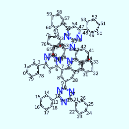 c1ccc(-c2cc(-c3cc(-c4nc(-c5ccccc5)nc(-c5ccccc5)n4)cc(-c4ccccc4)c3N3c4ccccc4N(c4nc(-c5ccccc5)cc(-c5ccccc5)n4)c4ccccc43)nc(-c3ccccc3)n2)cc1